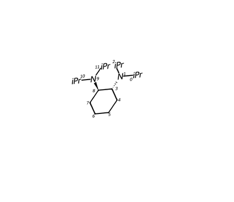 CC(C)N(C(C)C)[C@@H]1CCCC[C@H]1N(C(C)C)C(C)C